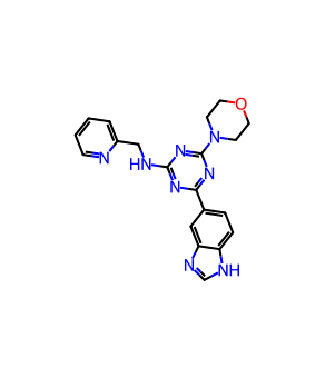 c1ccc(CNc2nc(-c3ccc4[nH]cnc4c3)nc(N3CCOCC3)n2)nc1